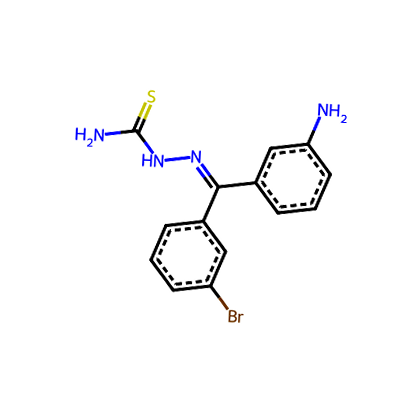 NC(=S)N/N=C(/c1cccc(N)c1)c1cccc(Br)c1